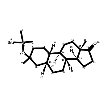 CC1(O[Si](C)(C)C(C)(C)C)CC[C@H]2[C@H](CC[C@@H]3[C@@H]2CC[C@]2(C)C(=O)CC[C@@H]32)C1